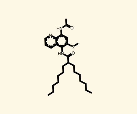 CCCCCCCC(CCCCCCC)C(=O)Nc1c(SC)cc(NC(C)=O)c2ncccc12